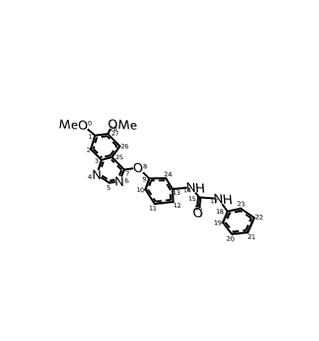 COc1cc2ncnc(Oc3cccc(NC(=O)Nc4ccccc4)c3)c2cc1OC